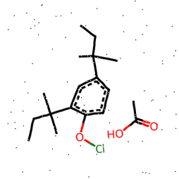 CC(=O)O.CCC(C)(C)c1ccc(OCl)c(C(C)(C)CC)c1